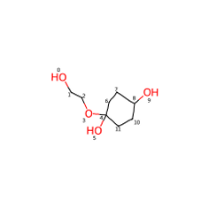 OCCOC1(O)CCC(O)CC1